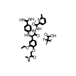 CCOc1cc(C(Nc2ccc(C(=N)N)cc2)C(=O)NNC(=O)c2cccc(C)n2)ccc1OCC(=O)N(C)C.O=C(O)C(F)(F)F